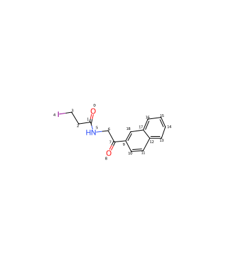 O=C(CCI)NCC(=O)c1ccc2ccccc2c1